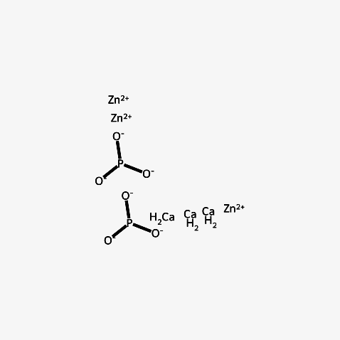 [CaH2].[CaH2].[CaH2].[O-]P([O-])[O-].[O-]P([O-])[O-].[Zn+2].[Zn+2].[Zn+2]